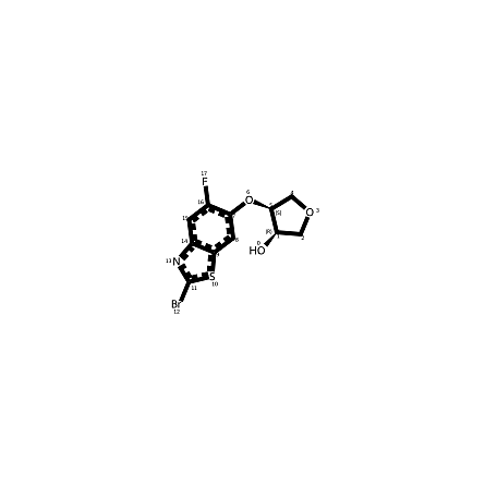 O[C@@H]1COC[C@@H]1Oc1cc2sc(Br)nc2cc1F